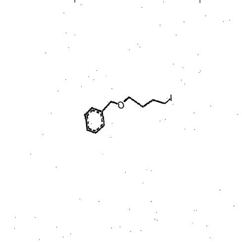 ICCCCOCc1ccccc1